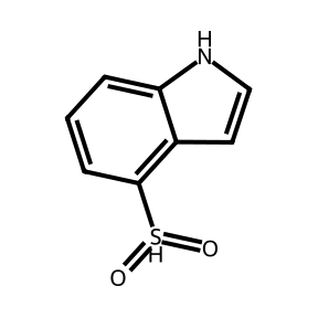 O=[SH](=O)c1cccc2[nH]ccc12